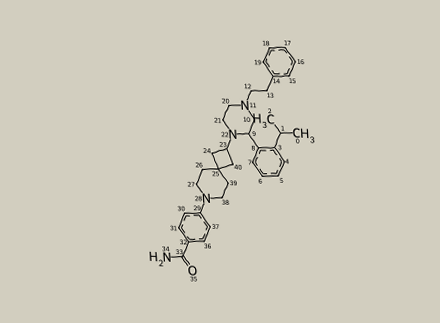 CC(C)c1ccccc1C1CN(CCc2ccccc2)CCN1C1CC2(CCN(c3ccc(C(N)=O)cc3)CC2)C1